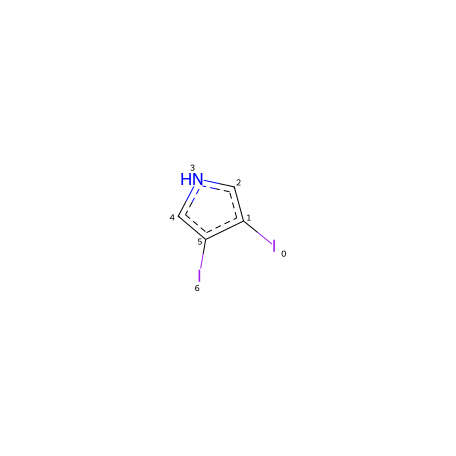 Ic1c[nH]cc1I